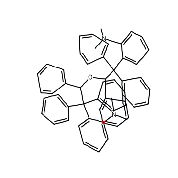 CN(C)c1ccccc1C(c1ccccc1)(c1ccccc1)C(OC(c1ccccc1)C(c1ccccc1)(c1ccccc1)c1ccccc1N(C)C)c1ccccc1